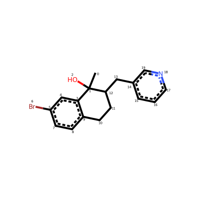 CC1(O)c2cc(Br)ccc2CCC1Cc1cccnc1